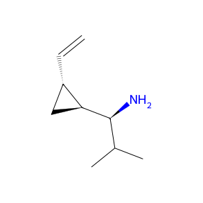 C=C[C@H]1C[C@@H]1[C@@H](N)C(C)C